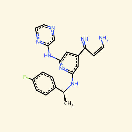 C[C@H](Nc1cc(C(=N)/C=C\N)cc(Nc2cnccn2)n1)c1ccc(F)cc1